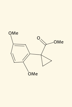 COC(=O)C1(c2cc(OC)ccc2OC)CC1